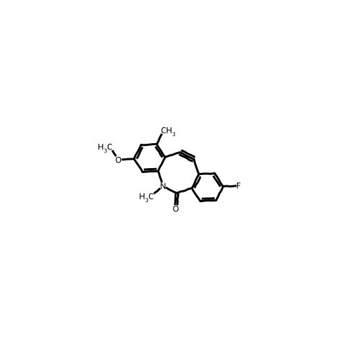 COc1cc(C)c2c(c1)N(C)C(=O)c1ccc(F)cc1C#C2